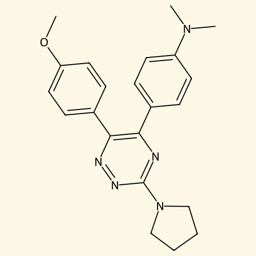 COc1ccc(-c2nnc(N3CCCC3)nc2-c2ccc(N(C)C)cc2)cc1